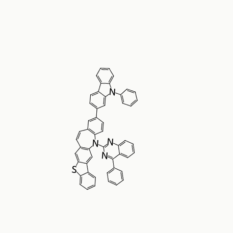 C1=Cc2cc3sc4ccccc4c3cc2N(c2nc(-c3ccccc3)c3ccccc3n2)c2ccc(-c3ccc4c5ccccc5n(-c5ccccc5)c4c3)cc21